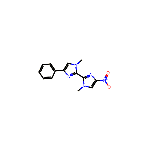 Cn1cc(-c2ccccc2)nc1-c1nc([N+](=O)[O-])cn1C